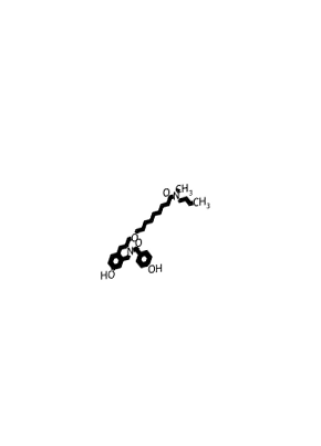 CCCCN(C)C(=O)CCCCCCCCOCC1Cc2ccc(O)cc2CN1C(=O)c1ccc(O)cc1